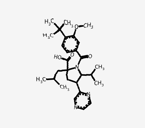 COc1cc(C(=O)N2C(C(C)C)C(c3cnccn3)CC2(CC(C)C)C(=O)O)ccc1C(C)(C)C